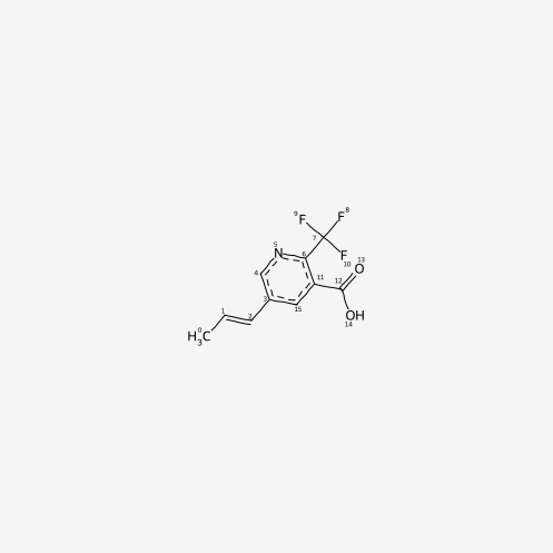 CC=Cc1cnc(C(F)(F)F)c(C(=O)O)c1